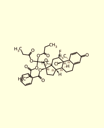 CCC(=O)OC(OC(=O)CC)(OC(=O)CC)C(=O)[C@@]1(OC(=O)c2ccccc2)CC[C@H]2[C@@H]3CCC4=CC(=O)C=C[C@]4(C)[C@@]3(Cl)C(F)C[C@@]21C